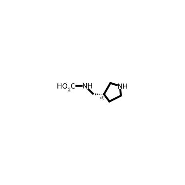 O=C(O)NC[C@H]1CCNC1